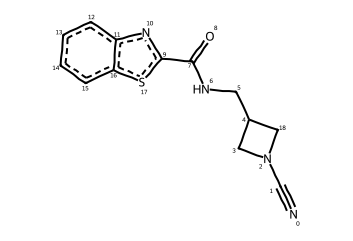 N#CN1CC(CNC(=O)c2nc3ccccc3s2)C1